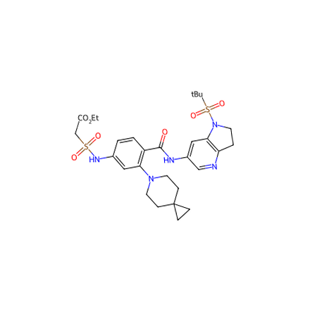 CCOC(=O)CS(=O)(=O)Nc1ccc(C(=O)Nc2cnc3c(c2)N(S(=O)(=O)C(C)(C)C)CC3)c(N2CCC3(CC2)CC3)c1